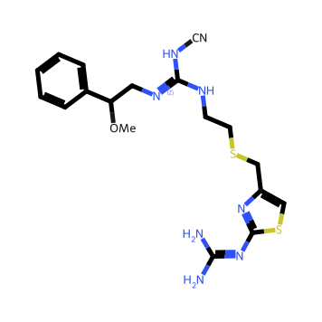 COC(C/N=C(\NC#N)NCCSCc1csc(N=C(N)N)n1)c1ccccc1